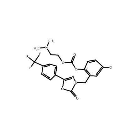 CN(C)CCOC(=O)Oc1ccc(Cl)cc1Cn1nc(-c2ccc(C(F)(F)F)cc2)oc1=O